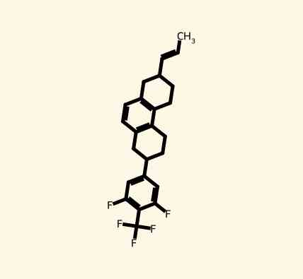 C/C=C/C1CCc2c(ccc3c2CCC(c2cc(F)c(C(F)(F)F)c(F)c2)C3)C1